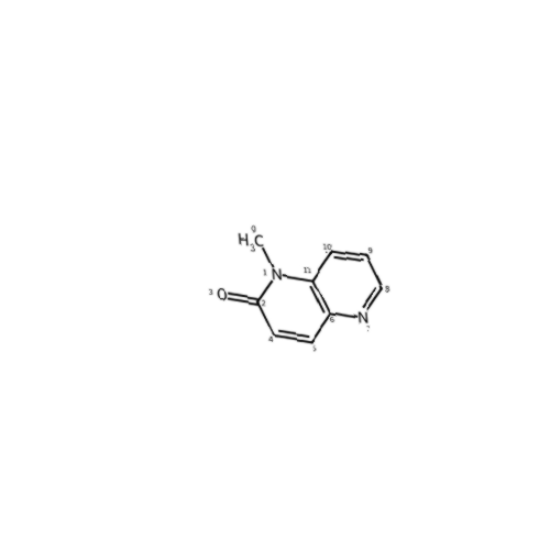 Cn1c(=O)ccc2ncc[c]c21